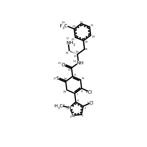 Cn1ncc(Cl)c1C1=C(Cl)C=C(C(=O)N[C@H](CN)Cc2cccc(C(F)(F)F)c2)C(=S)C1